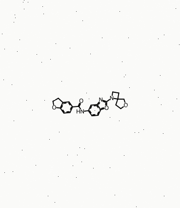 O=C(Nc1ccc2oc(N3CCC34CCOC4)nc2c1)c1ccc2c(c1)CCO2